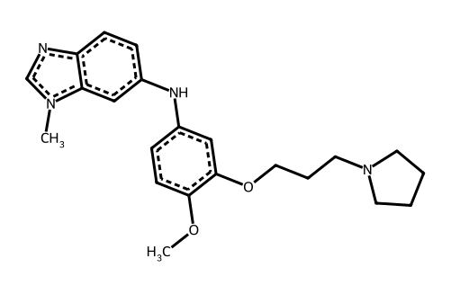 COc1ccc(Nc2ccc3ncn(C)c3c2)cc1OCCCN1CCCC1